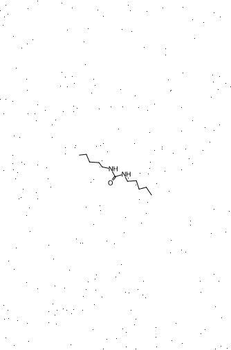 CCCC[CH]NC(=O)NCCCCC